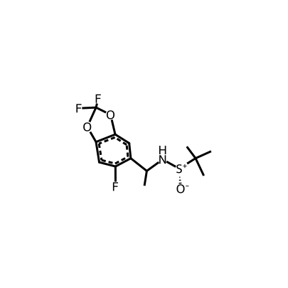 CC(N[S@@+]([O-])C(C)(C)C)c1cc2c(cc1F)OC(F)(F)O2